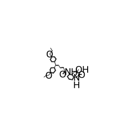 CCOc1ccc(C(=CC=CC(=O)Nc2cccc3c2CC(O)C(=O)N3)c2ccc(OCC)cc2)cc1